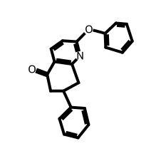 O=C1CC(c2ccccc2)Cc2nc(Oc3ccccc3)ccc21